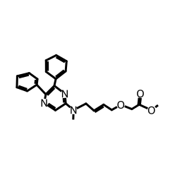 COC(=O)COCC=CCN(C)c1cnc(-c2ccccc2)c(-c2ccccc2)n1